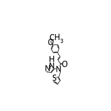 COc1ccc(/C=C/C(=O)N(Cc2cccs2)c2ccn[nH]2)cc1